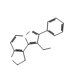 N#CCc1c(-c2ccccc2)nn2ccc3c(c12)CCO3